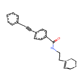 O=C(NCCC1=CCCCC1)c1ccc(C#Cc2ccccc2)cc1